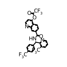 O=C(N[C@@H](c1ccc(C(F)(F)F)cc1)c1ncccc1C(F)(F)F)c1ccc2c(OC(=O)C(F)(F)F)ccnc2c1